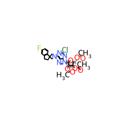 CC(=O)OC[C@H]1O[C@@H](n2cnc3c(N4CC5(CCc6cc(F)ccc65)C4)nc(Cl)nc32)[C@H](OC(C)=O)[C@@H]1OC(C)=O